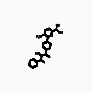 CC(c1ccccc1)N(O)C(=O)c1ccc(-c2nc(B(O)O)cnc2N)cc1